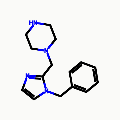 c1ccc(Cn2ccnc2CN2CCNCC2)cc1